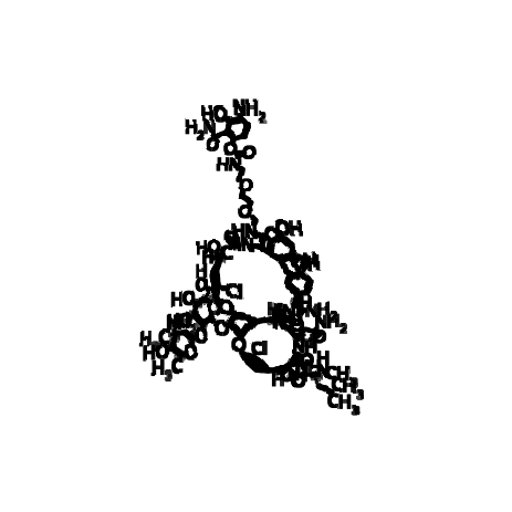 CN[C@H](CC(C)C)C(=O)N[C@H]1C(=O)N[C@@H](CC(N)=O)C(=O)N[C@H]2C(=O)N[C@@H](C(N)=O)c3ccc(O)c(c3)-c3c(O)cc(O)cc3C(C(=O)NCOCCOCCNC(=O)Oc3ccc(N)c(O)c3C(N)=O)NC(=O)C[C@H](O)c3ccc(c(Cl)c3)Oc3cc2cc(c3OC2O[C@@H](CO)[C@@H](O)[C@H](O)[C@@H]2O[C@@H]2C[C@](C)(N)[C@H](O)[C@@H](C)O2)Oc2ccc(cc2Cl)[C@H]1O